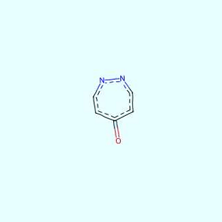 O=c1ccnncc1